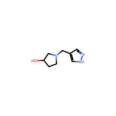 OC1CCN(Cc2cn[nH]c2)C1